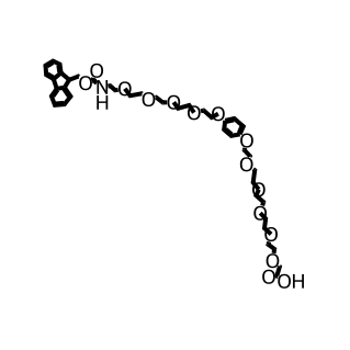 O=C(O)COCCOCCOCCOCCOCCOc1ccc(OCCOCCOCCOCCOCCNC(=O)OCC2c3ccccc3-c3ccccc32)cc1